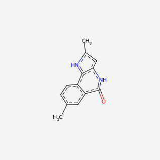 Cc1ccc2c(c1)c(=O)[nH]c1cc(C)[nH]c12